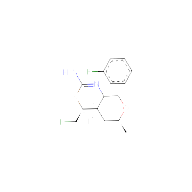 C[C@H]1C[C@H]2[C@@H](CF)SC(N)=N[C@@]2(c2ccccc2F)CO1